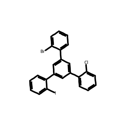 Clc1ccccc1-c1cc(-c2ccccc2Br)cc(-c2ccccc2I)c1